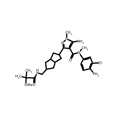 COC(C)(C)C(=O)NCC1CC2CC(c3nn(C)c(N)c3C(=O)N(C)c3ccc(P)c(Cl)c3)CC2C1